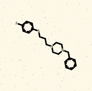 Fc1ccc(SCCCN2CCN(Cc3ccccc3)CC2)cc1